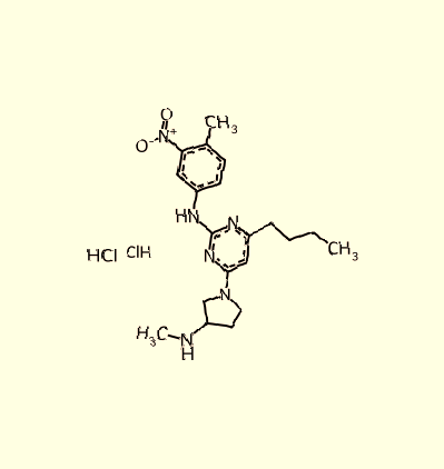 CCCCc1cc(N2CCC(NC)C2)nc(Nc2ccc(C)c([N+](=O)[O-])c2)n1.Cl.Cl